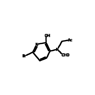 CC(=O)CN(C=O)c1ccc(Br)nc1O